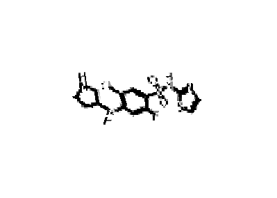 O=S(=O)(Nc1nccs1)c1cc(Cl)c(NC2CCNC2)cc1F